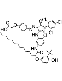 CCCCCCCCCCCCC(Oc1ccc(O)c(C(C)(C)C)c1)C(=O)Nc1ccc(Cl)c(NC2=NN(c3c(Cl)cc(Cl)cc3Cl)C(=O)C2N=Nc2ccc(OCC(=O)O)cc2)c1